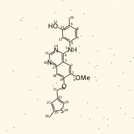 COc1cc2c(Nc3ccc(C)c(O)c3)ncnc2cc1OCc1csc(C)c1